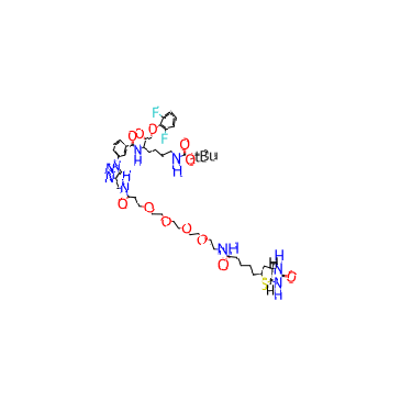 CC(C)(C)OC(=O)NCCCCC(NC(=O)c1cccc(-n2cc(CNC(=O)CCOCCOCCOCCOCCNC(=O)CCCC[C@H]3C[C@@H]4NC(=O)N[C@@H]4S3)nn2)c1)C(=O)COc1c(F)cccc1F